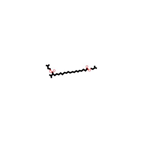 CC(C)CCOC(=O)CCCCCCCCCCCCCCCCCC(C(=O)OCCC(C)C)C(C)C